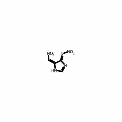 O=[N+]([O-])C=C1NC=NC1=N[N+](=O)[O-]